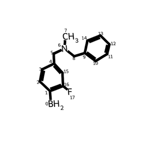 Bc1ccc(CN(C)Cc2ccccc2)cc1F